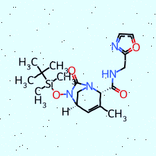 CC1=C[C@@H]2CN(C(=O)N2O[Si](C)(C)C(C)(C)C)[C@@H]1C(=O)NCc1ncco1